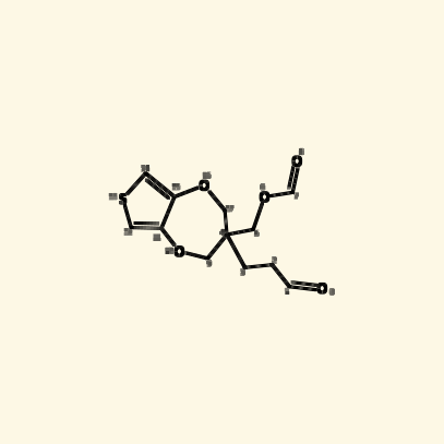 O=CCCC1(COC=O)COc2cscc2OC1